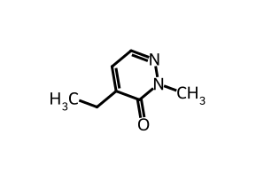 CCc1ccnn(C)c1=O